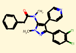 CN(C(=O)Cc1ccccc1)c1c(-c2ccncc2)c(-c2ccc(Cl)c(Cl)c2)nn1C